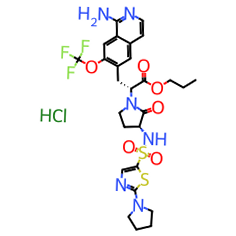 CCCOC(=O)[C@@H](Cc1cc2ccnc(N)c2cc1OC(F)(F)F)N1CC[C@H](NS(=O)(=O)c2cnc(N3CCCC3)s2)C1=O.Cl